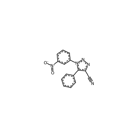 N#Cc1nnn(-c2cccc([N+](=O)[O-])c2)c1-c1ccccc1